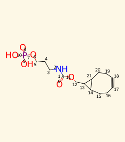 O=C(NCCCOP(=O)(O)O)OCC1C2CCC#CCCC21